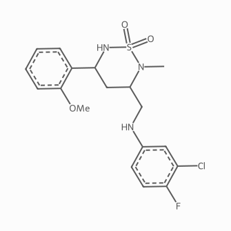 COc1ccccc1C1CC(CNc2ccc(F)c(Cl)c2)N(C)S(=O)(=O)N1